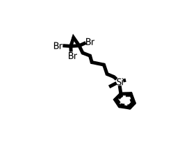 C[Si](C)(CCCCCCC1(Br)CC1(Br)Br)c1ccccc1